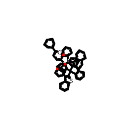 c1ccc(-c2ccc(N(c3ccccc3)c3cccc4c3C3(c5ccccc5-4)c4sc5ccccc5c4-c4cccc(N(c5ccccc5)c5cccc6ccccc56)c43)cc2)cc1